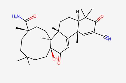 CC1(C)CC[C@](C)(C(N)=O)CC[C@]2(C)[C@@](O)(CC1)C(=O)C=C1[C@@]3(C)C=C(C#N)C(=O)C(C)(C)[C@@H]3CC[C@]12C